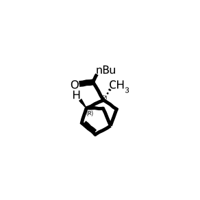 CCCCC(=O)[C@@]1(C)CC2C=C[C@H]1C2